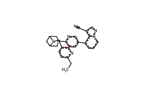 CCc1ccc(CN2C3CC2CN(c2ccc(-c4cccn5ncc(C#N)c45)cn2)C3)cn1